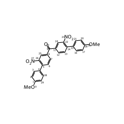 COc1ccc(-c2ccc(C(=O)c3ccc(-c4ccc(OC)cc4)c([N+](=O)[O-])c3)cc2[N+](=O)[O-])cc1